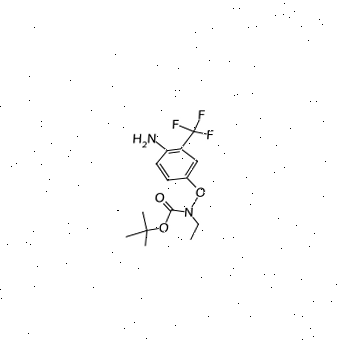 CCN(Oc1ccc(N)c(C(F)(F)F)c1)C(=O)OC(C)(C)C